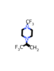 C=C(N1CCN(C(F)(F)F)CC1)C(F)(F)F